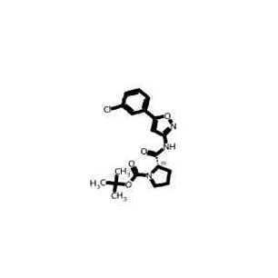 CC(C)(C)OC(=O)N1CCC[C@H]1C(=O)Nc1cc(-c2cccc(Cl)c2)on1